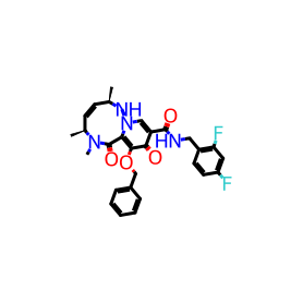 C[C@@H]1/C=C\[C@H](C)N(C)C(=O)c2c(OCc3ccccc3)c(=O)c(C(=O)NCc3ccc(F)cc3F)cn2N1